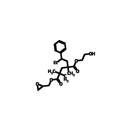 CCC(CC(C)(CC(C)(C)C(=O)OCC1CO1)C(=O)OCCO)c1ccccc1